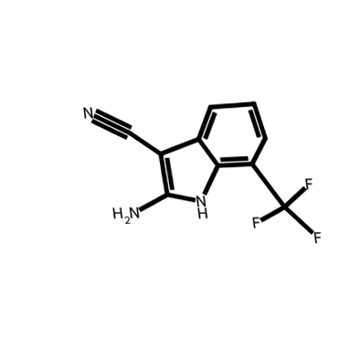 N#Cc1c(N)[nH]c2c(C(F)(F)F)cccc12